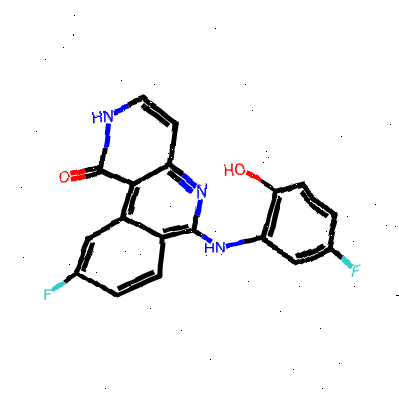 O=c1[nH]ccc2nc(Nc3cc(F)ccc3O)c3ccc(F)cc3c12